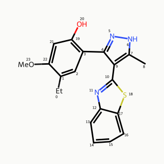 CCc1cc(-c2n[nH]c(C)c2-c2nc3ccccc3s2)c(O)cc1OC